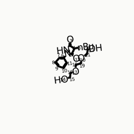 CCCCC1C(=O)NN(c2ccccc2)C1=O.OCCOCCOCCO